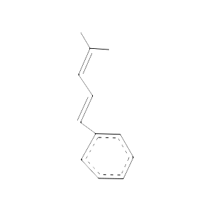 CC(Cl)=CC=Cc1ccccc1